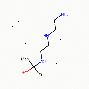 CCC(O)(NC)NCCNCCN